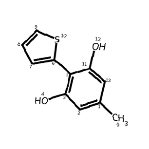 Cc1cc(O)c(-c2cccs2)c(O)c1